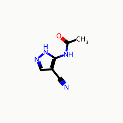 CC(=O)Nc1[nH]ncc1C#N